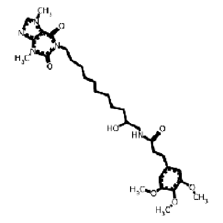 COc1cc(CCC(=O)NCC(O)CCCCCCCCCn2c(=O)c3c(ncn3C)n(C)c2=O)cc(OC)c1OC